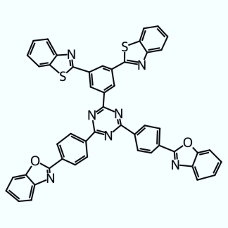 c1ccc2oc(-c3ccc(-c4nc(-c5ccc(-c6nc7ccccc7o6)cc5)nc(-c5cc(-c6nc7ccccc7s6)cc(-c6nc7ccccc7s6)c5)n4)cc3)nc2c1